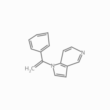 C=C(c1ccccc1)n1ccc2cnccc21